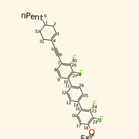 CCCCCC1CC=C(C#Cc2ccc(-c3ccc(-c4ccc(OCC)c(F)c4F)cc3)c(F)c2F)CC1